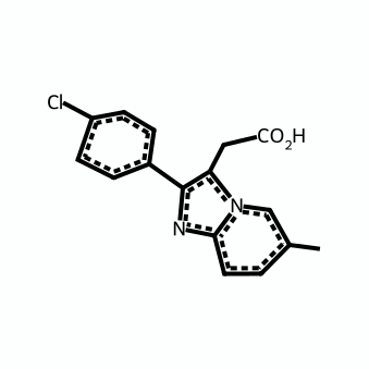 Cc1ccc2nc(-c3ccc(Cl)cc3)c(CC(=O)O)n2c1